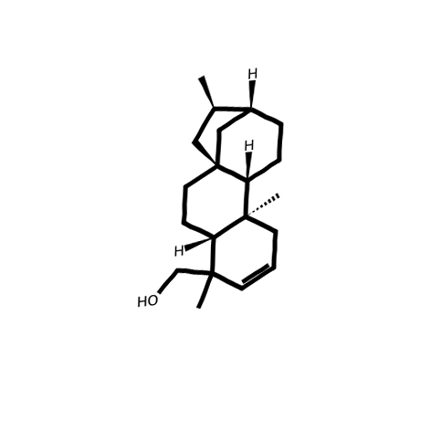 C[C@@H]1C[C@]23CC[C@H]4C(C)(CO)C=CC[C@]4(C)[C@H]2CC[C@@H]1C3